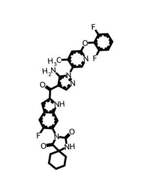 Cc1cc(Oc2c(F)cccc2F)ncc1-n1ncc(C(=O)c2cc3cc(F)c(N4C(=O)NC5(CCCCC5)C4=O)cc3[nH]2)c1N